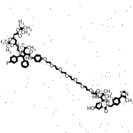 Cc1ncsc1-c1ccc(CNC(=O)[C@@H]2C[C@@H](O)CN2C(=O)[C@@H](NC(=O)COCCOCCOCCOCCOCCOCCOc2ccc(NC(=O)c3c(-c4ccccc4)c(-c4ccc(F)cc4)n(CC[C@@H]4C[C@H](CC(=O)OC(C)(C)C)OC(C)(C)O4)c3C(C)C)cc2)C(C)(C)C)cc1